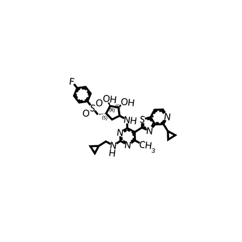 Cc1nc(NCC2CC2)nc(NC2C[C@H](CS(=O)(=O)c3ccc(F)cc3)[C@@H](O)[C@H]2O)c1-c1nc2c(C3CC3)nccc2s1